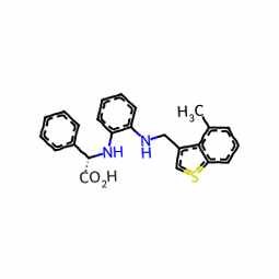 Cc1cccc2scc(CNc3ccccc3N[C@H](C(=O)O)c3ccccc3)c12